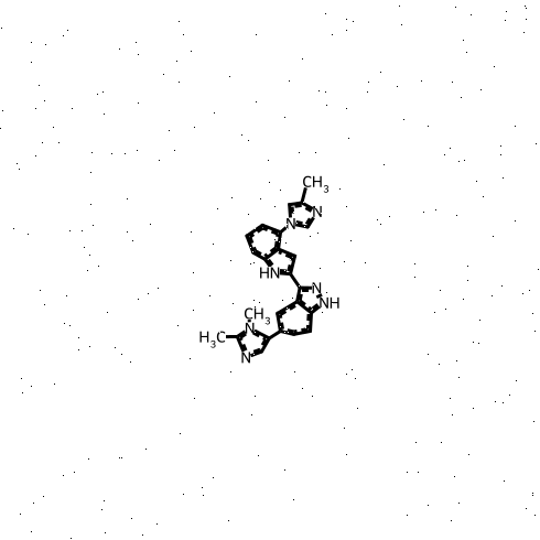 Cc1cn(-c2cccc3[nH]c(-c4n[nH]c5ccc(-c6cnc(C)n6C)cc45)cc23)cn1